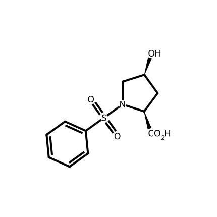 O=C(O)[C@@H]1C[C@H](O)CN1S(=O)(=O)c1ccccc1